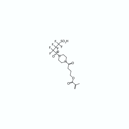 C=C(C)C(=O)OCCCC(=O)N1CCN(S(=O)(=O)C(F)(F)C(F)(F)C(F)(F)S(=O)(=O)O)CC1